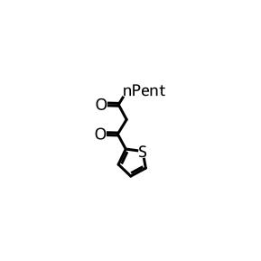 CCCCCC(=O)CC(=O)c1cccs1